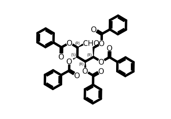 O=C[C@H](OC(=O)c1ccccc1)[C@@H](OC(=O)c1ccccc1)[C@H](OC(=O)c1ccccc1)[C@@H](COC(=O)c1ccccc1)OC(=O)c1ccccc1